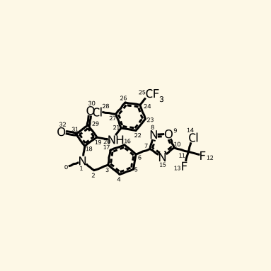 CN(Cc1ccc(-c2noc(C(F)(F)Cl)n2)cc1)c1c(Nc2ccc(C(F)(F)F)cc2Cl)c(=O)c1=O